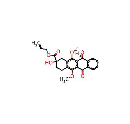 C=CCOC(=O)C1(O)CCc2c(c(OC)c3c(c2OC)C(=O)c2ccccc2C3=O)C1